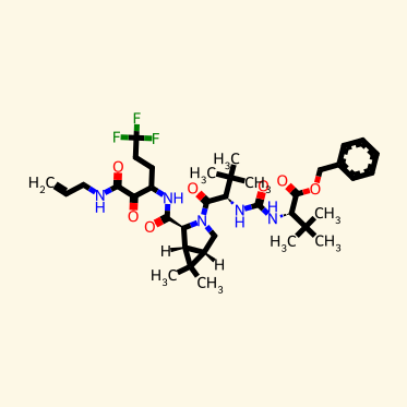 C=CCNC(=O)C(=O)C(CCC(F)(F)F)NC(=O)[C@@H]1[C@@H]2[C@H](CN1C(=O)[C@@H](NC(=O)N[C@H](C(=O)OCc1ccccc1)C(C)(C)C)C(C)(C)C)C2(C)C